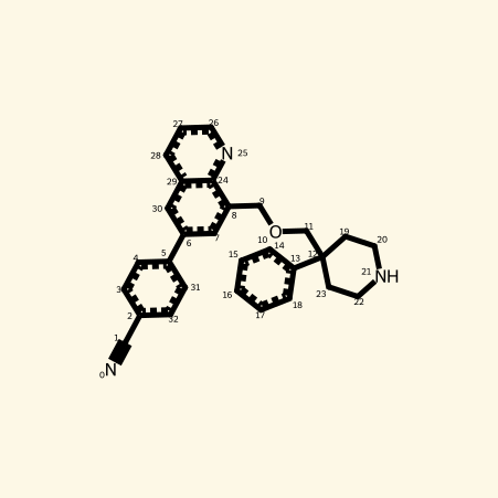 N#Cc1ccc(-c2cc(COCC3(c4ccccc4)CCNCC3)c3ncccc3c2)cc1